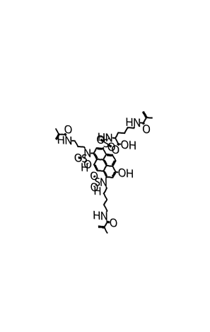 C=C(C)C(=O)NCCCCCN(c1cc(O)c2ccc3c(S(=O)(=O)NC(CCCCNC(=O)C(=C)C)C(=O)O)cc(N(CCCNC(=O)C(=C)C)[SH](=O)=O)c4ccc1c2c43)[SH](=O)=O